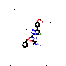 CC(C)(N)C(=O)N[C@H](COCc1ccccc1)c1nnc2c(-c3ccc4c(c3)OCO4)cc(Cl)cn12